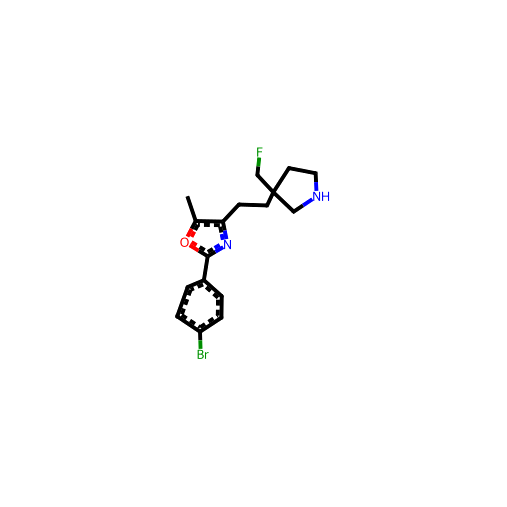 Cc1oc(-c2ccc(Br)cc2)nc1CCC1(CF)CCNC1